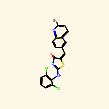 CCc1ccc2cc(C=C3SC(Nc4c(Cl)cccc4Cl)=NC3=O)ccc2n1